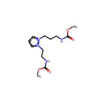 CC(C)(C)OC(=O)NCCCn1ccc[n+]1CCNC(=O)OC(C)(C)C